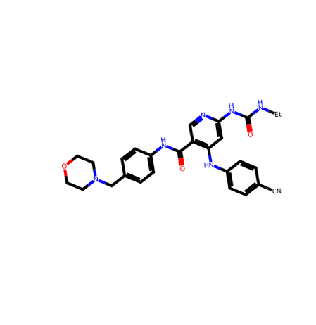 CCNC(=O)Nc1cc(Nc2ccc(C#N)cc2)c(C(=O)Nc2ccc(CN3CCOCC3)cc2)cn1